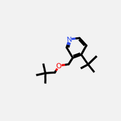 CC(C)(C)COCc1cnccc1C(C)(C)C